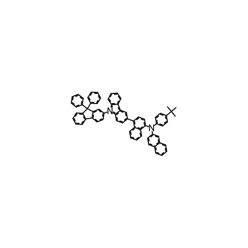 CC(C)(C)c1ccc(N(c2ccc3ccccc3c2)c2ccc(-c3ccc4c(c3)c3ccccc3n4-c3ccc4c(c3)C(c3ccccc3)(c3ccccc3)c3ccccc3-4)c3ccccc23)cc1